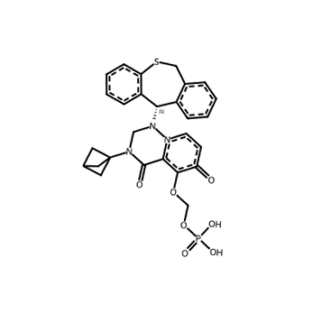 O=C1c2c(OCOP(=O)(O)O)c(=O)ccn2N([C@H]2c3ccccc3CSc3ccccc32)CN1C12CC(C1)C2